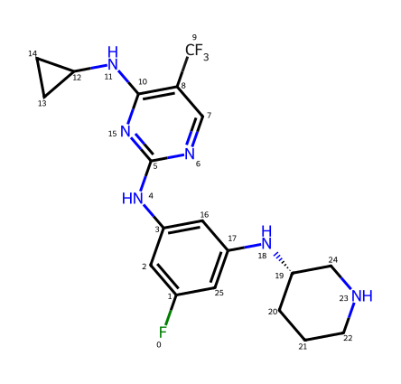 Fc1cc(Nc2ncc(C(F)(F)F)c(NC3CC3)n2)cc(N[C@H]2CCCNC2)c1